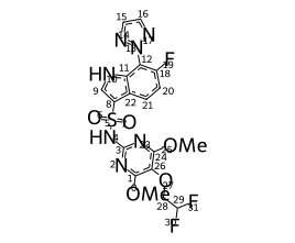 COc1nc(NS(=O)(=O)c2c[nH]c3c(-n4nccn4)c(F)ccc23)nc(OC)c1OCC(F)F